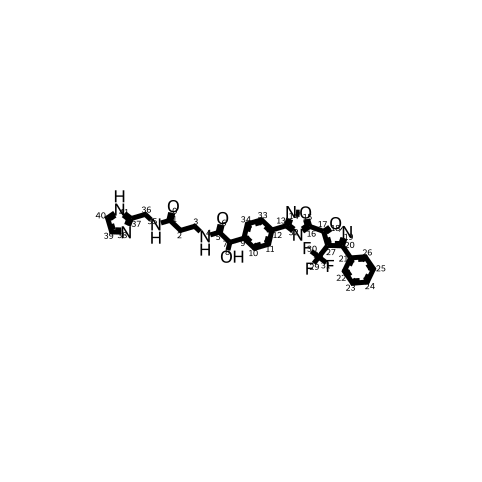 O=C(CCNC(=O)C(O)c1ccc(-c2noc(-c3onc(-c4ccccc4)c3C(F)(F)F)n2)cc1)NCc1ncc[nH]1